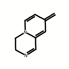 C=C1C=CN2CCN=CC2=C1